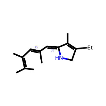 CCC1=C(C)/C(=C/C(C)=C/C(C)=C(C)C)NC1